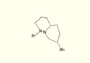 CC(C)N1CCCC2CCC(C(C)(C)C)CN21